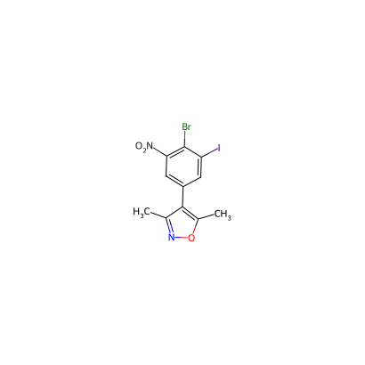 Cc1noc(C)c1-c1cc(I)c(Br)c([N+](=O)[O-])c1